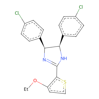 CCOc1ccsc1C1=N[C@@H](c2ccc(Cl)cc2)[C@@H](c2ccc(Cl)cc2)N1